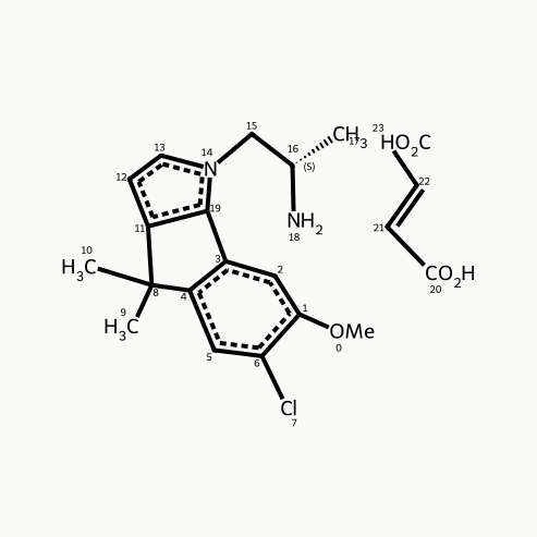 COc1cc2c(cc1Cl)C(C)(C)c1ccn(C[C@H](C)N)c1-2.O=C(O)C=CC(=O)O